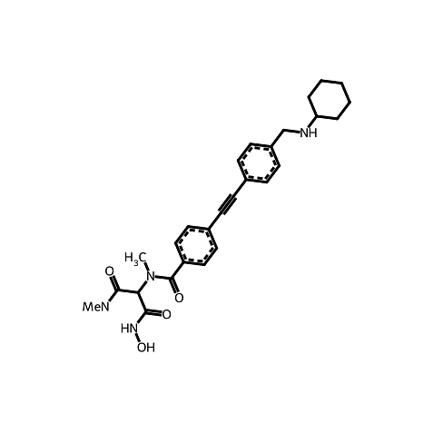 CNC(=O)C(C(=O)NO)N(C)C(=O)c1ccc(C#Cc2ccc(CNC3CCCCC3)cc2)cc1